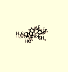 C[C@@H](OCC1(c2ccccc2)CC(CO)(NC(=O)OC(C)(C)C)C1)c1cc(C(F)(F)F)cc(C(F)(F)F)c1